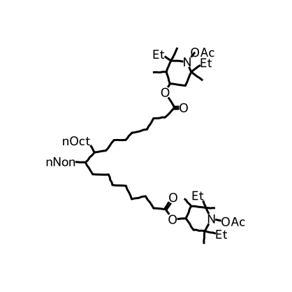 CCCCCCCCCC(CCCCCCCC(=O)OC1CC(C)(CC)N(OC(C)=O)C(C)(CC)C1C)C(CCCCCCCC)CCCCCCCC(=O)OC1CC(C)(CC)N(OC(C)=O)C(C)(CC)C1C